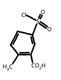 Cc1ccc(S(=O)(=O)Cl)cc1C(=O)O